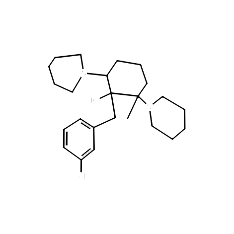 CC1(N2CCCCC2)CCCC(N2CCCCC2)C1(O)Cc1cccc(Cl)c1